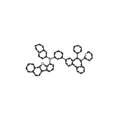 c1ccc(-c2c(-c3ccccc3)c3cc(-c4cccc(N(c5ccc6ccccc6c5)c5cccc6c5oc5c7ccccc7ccc65)c4)ccc3c3ccccc23)cc1